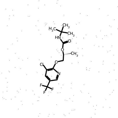 C[C@H](COc1ncc(C(F)(F)F)cc1Cl)OC(=O)NC(C)(C)C